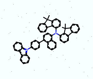 CC1(C)c2ccccc2-c2c(N(c3cccc4c3C(C)(C)c3ccccc3-4)c3ccc(-c4ccc(-n5c6ccccc6c6ccccc65)cc4)c4ccccc34)cccc21